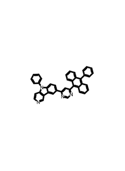 c1ccc(-c2c3ccccc3c(-c3cc(-c4ccc5c(c4)c4cnccc4n5-c4ccccc4)ncn3)c3ccccc23)cc1